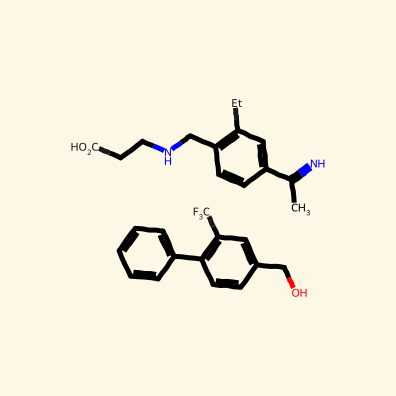 CCc1cc(C(C)=N)ccc1CNCCC(=O)O.OCc1ccc(-c2ccccc2)c(C(F)(F)F)c1